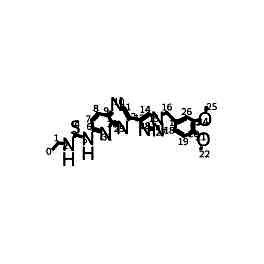 CCNC(=S)Nc1ccc2ncc(-c3cn(Cc4ccc(OC)c(OC)c4)nn3)nc2n1